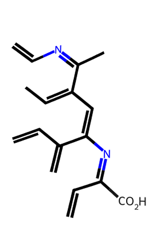 C=C\N=C(C)/C(=C\C)/C=C(/N=C(\C=C)C(=O)O)C(=C)C=C